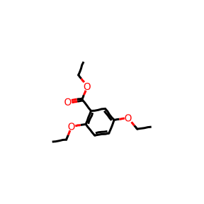 CCOC(=O)c1cc(OCC)ccc1OCC